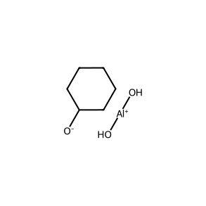 [O-]C1CCCCC1.[OH][Al+][OH]